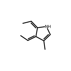 C/C=c1/c(C)c[nH]/c1=C/C